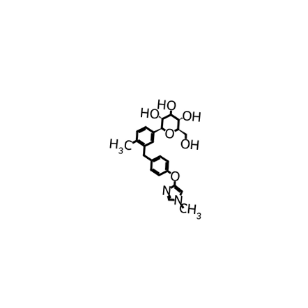 Cc1ccc([C@@H]2O[C@H](CO)[C@@H](O)C(O)[C@H]2O)cc1Cc1ccc(Oc2cn(C)cn2)cc1